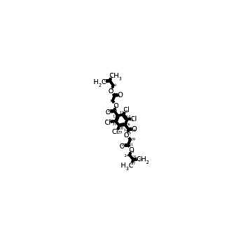 C=C(C)COC(=O)COC(=O)c1c(Cl)c(Cl)c(C(=O)OCC(=O)OCC(=C)C)c(Cl)c1Cl